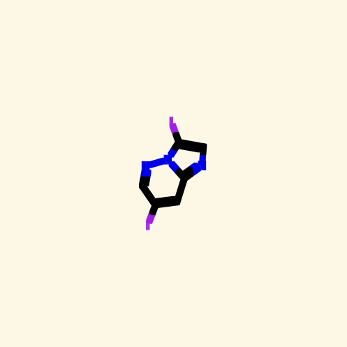 Ic1cnn2c(I)cnc2c1